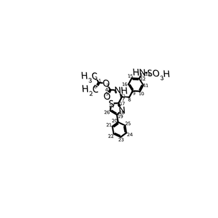 C=C(C)OC(=O)N[C@@H](Cc1ccc(NS(=O)(=O)O)cc1)c1nc(-c2ccccc2)cs1